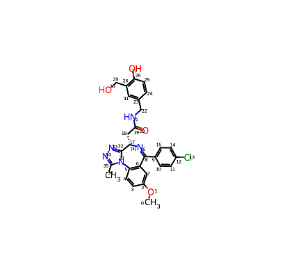 COc1ccc2c(c1)C(c1ccc(Cl)cc1)=N[C@@H](CC(=O)NCc1ccc(O)c(CO)c1)c1nnc(C)n1-2